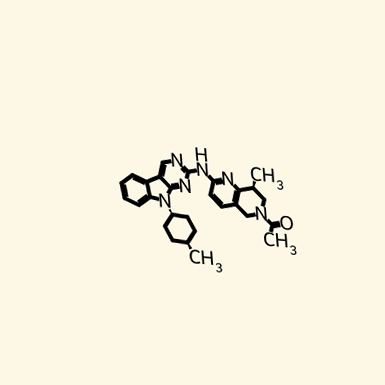 CC(=O)N1Cc2ccc(Nc3ncc4c5ccccc5n([C@H]5CC[C@H](C)CC5)c4n3)nc2[C@@H](C)C1